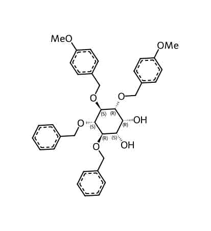 COc1ccc(CO[C@@H]2[C@@H](OCc3ccccc3)[C@H](OCc3ccccc3)[C@@H](O)[C@@H](O)[C@H]2OCc2ccc(OC)cc2)cc1